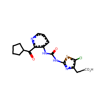 O=C(O)Cc1nc(NC(=O)Nc2cccnc2C(=O)C2CCCC2)sc1Cl